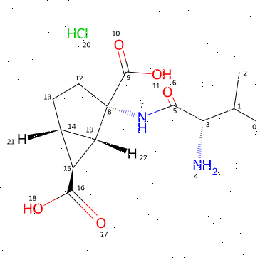 CC(C)[C@H](N)C(=O)N[C@@]1(C(=O)O)CC[C@H]2[C@H](C(=O)O)[C@H]21.Cl